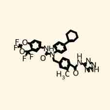 Cc1cc(CN(C(=O)Nc2ccc3c(c2)C(F)(F)OC(F)(F)O3)c2ccc(C3=CCCCC3)cc2)ccc1C(=O)Nc1nn[nH]n1